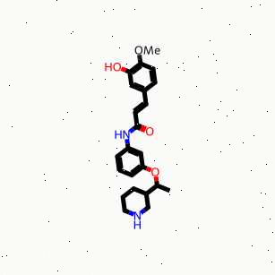 COc1ccc(/C=C/C(=O)Nc2cccc(OC(C)C3CCCNC3)c2)cc1O